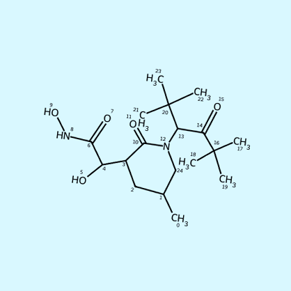 CC1CC(C(O)C(=O)NO)C(=O)N(C(C(=O)C(C)(C)C)C(C)(C)C)C1